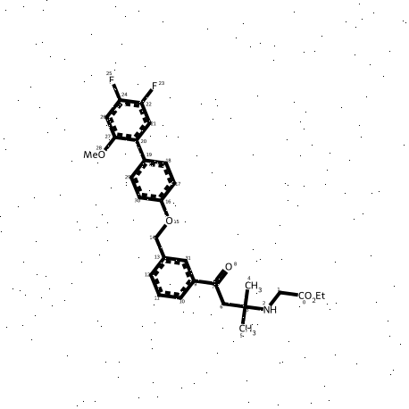 CCOC(=O)CNC(C)(C)CC(=O)c1cccc(COc2ccc(-c3cc(F)c(F)cc3OC)cc2)c1